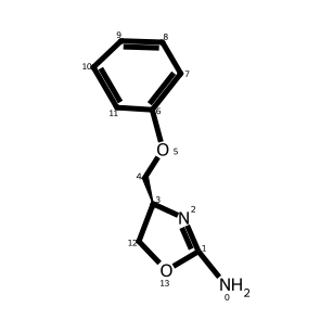 NC1=N[C@H](COc2ccccc2)CO1